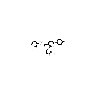 CC1CCN(c2nc(-c3ccc(F)cc3)ccc2C(=O)NS(=O)(=O)c2ccc[nH]c2=O)C1(C)C